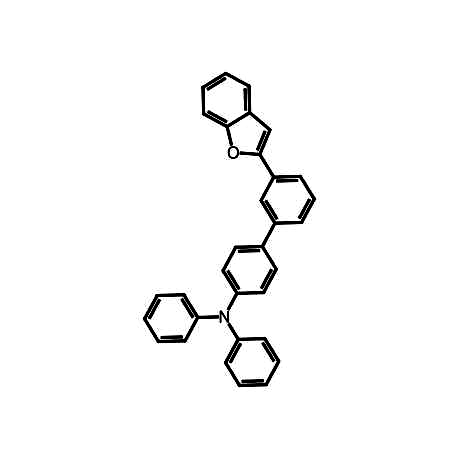 c1ccc(N(c2ccccc2)c2ccc(-c3cccc(-c4cc5ccccc5o4)c3)cc2)cc1